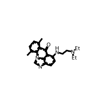 CCN(CC)CCNc1ccc2ncn3c4c(C)ccc(C)c4c(=O)c1c23